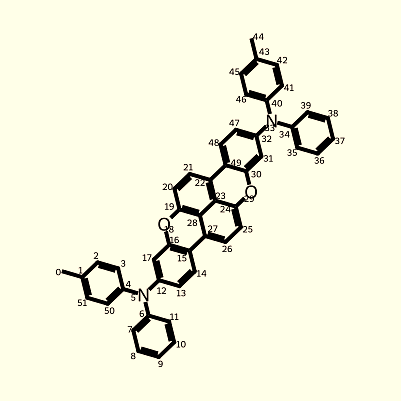 Cc1ccc(N(c2ccccc2)c2ccc3c(c2)Oc2ccc4c5c(ccc-3c25)Oc2cc(N(c3ccccc3)c3ccc(C)cc3)ccc2-4)cc1